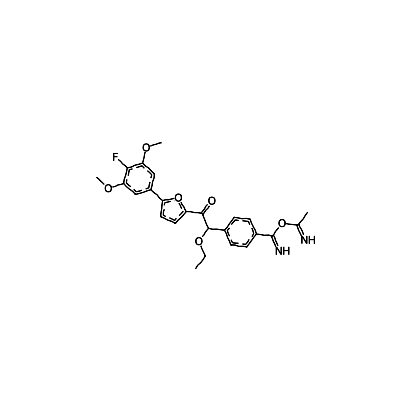 CCOC(C(=O)c1ccc(-c2cc(OC)c(F)c(OC)c2)o1)c1ccc(C(=N)OC(C)=N)cc1